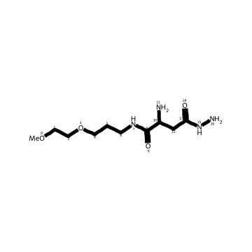 COCCOCCCNC(=O)C(N)CC(=O)NN